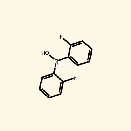 O[SiH](c1ccccc1F)c1ccccc1F